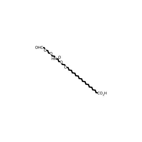 O=CCOCCOCCNC(=O)COCCOCCCCCCCCCCCCCCCCCCC(=O)O